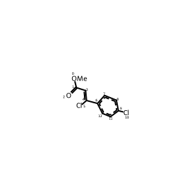 COC(=O)C=C(Cl)c1ccc(Cl)cc1